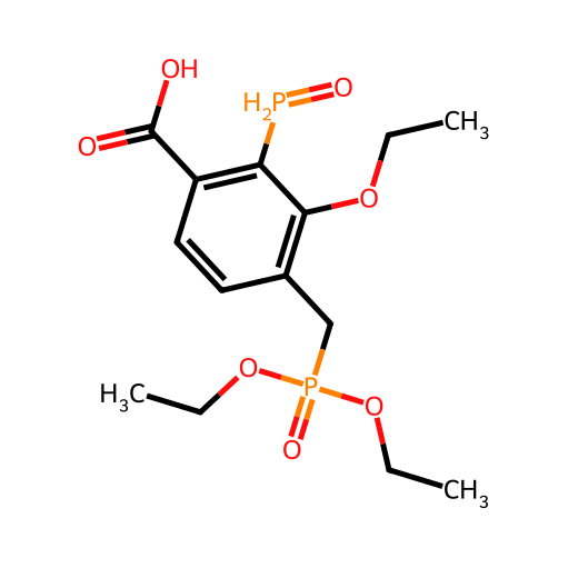 CCOc1c(CP(=O)(OCC)OCC)ccc(C(=O)O)c1[PH2]=O